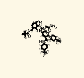 Cc1ccc(CNC(=O)C(C)(C)C)c(I)c1Nc1nc2cc(C(=O)NC3CCC(C(F)(F)F)CC3)c(N3CCC(C(F)(F)F)CC3)nc2n1CC(N)=O